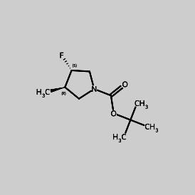 C[C@@H]1CN(C(=O)OC(C)(C)C)C[C@H]1F